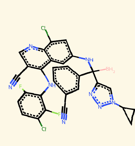 BC(Nc1cc(Cl)c2ncc(C#N)c(Nc3c(F)ccc(Cl)c3F)c2c1)(c1cccc(C#N)c1)c1cn(C2CC2)nn1